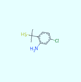 CC(C)(S)c1ccc(Cl)cc1N